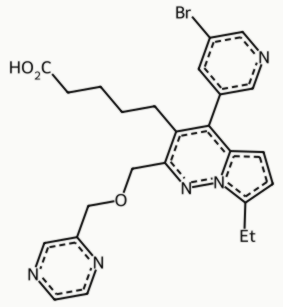 CCc1ccc2c(-c3cncc(Br)c3)c(CCCCC(=O)O)c(COCc3cnccn3)nn12